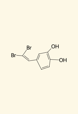 Oc1ccc(C=C(Br)Br)cc1O